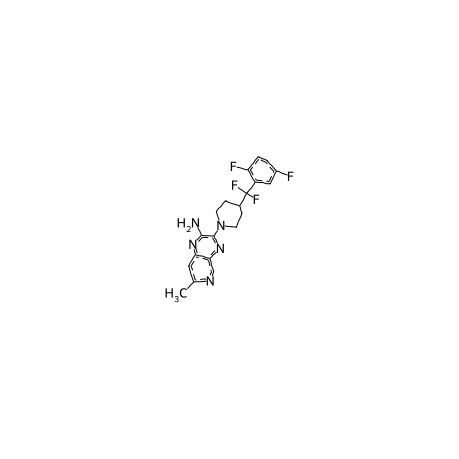 Cc1cc2nc(N)c(N3CCC(C(F)(F)c4cc(F)ccc4F)CC3)nc2cn1